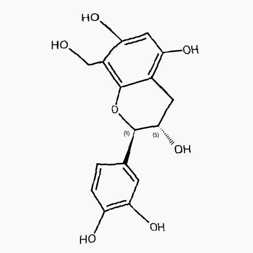 OCc1c(O)cc(O)c2c1O[C@H](c1ccc(O)c(O)c1)[C@@H](O)C2